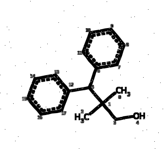 CC(C)(CO)C(c1ccccc1)c1ccccc1